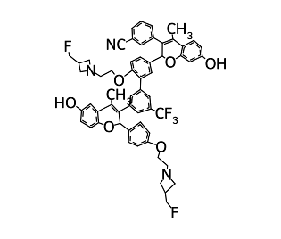 CC1=C(c2cccc(C#N)c2)C(c2ccc(OCCN3CC(CF)C3)c(-c3cc(C4=C(C)c5cc(O)ccc5OC4c4ccc(OCCN5CC(CF)C5)cc4)cc(C(F)(F)F)c3)c2)Oc2cc(O)ccc21